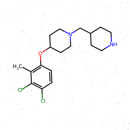 Cc1c(OC2CCN(CC3CCNCC3)CC2)ccc(Cl)c1Cl